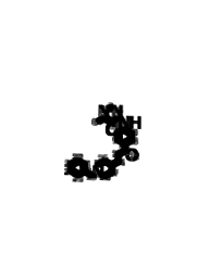 Cc1ncnc(Nc2ccc(C(=O)CCC3CCN(Cc4ccccc4)CC3)cc2)c1Cl